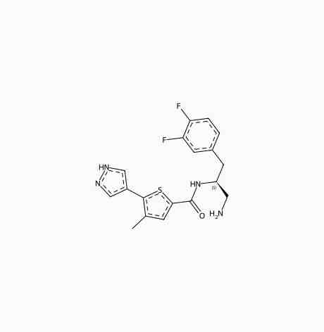 Cc1cc(C(=O)N[C@H](CN)Cc2ccc(F)c(F)c2)sc1-c1cn[nH]c1